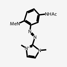 CNc1ccc(NC(C)=O)cc1/N=N/c1n(C)cc[n+]1C